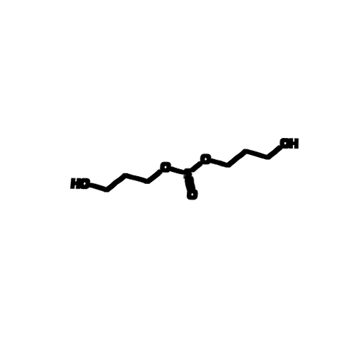 O=S(OCCCO)OCCCO